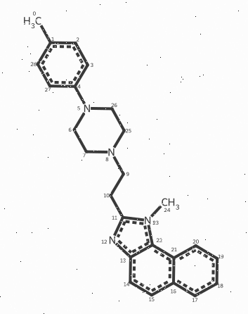 Cc1ccc(N2CCN(CCc3nc4ccc5ccccc5c4n3C)CC2)cc1